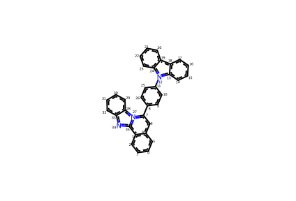 c1ccc2c(c1)cc(-c1ccc(-n3c4ccccc4c4ccccc43)cc1)n1c3ccccc3nc21